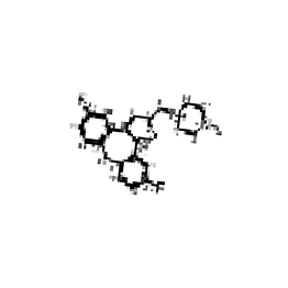 CN1CCN(CC2CC3c4cc(F)ccc4Cc4ccc(F)cc4C3O2)CC1